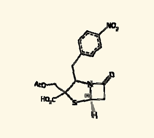 CC(=O)OCC1(C(=O)O)S[C@@H]2CC(=O)N2C1Cc1ccc([N+](=O)[O-])cc1